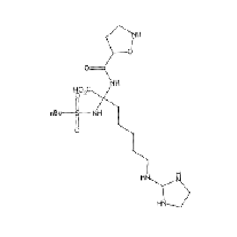 CCCCS(=O)(=O)NC(CCCCCNC1NCCN1)(NC(=O)C1CCNO1)C(=O)O